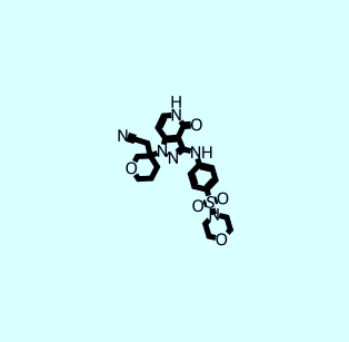 N#CCC1(n2nc(Nc3ccc(S(=O)(=O)N4CCOCC4)cc3)c3c(=O)[nH]ccc32)CCCOC1